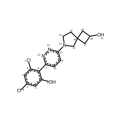 Oc1cc(Cl)cc(Cl)c1-c1ccc(N2CCC3(CC(O)C3)C2)nn1